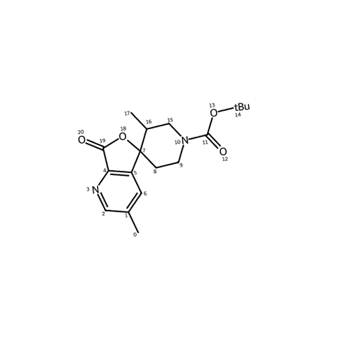 Cc1cnc2c(c1)C1(CCN(C(=O)OC(C)(C)C)CC1C)OC2=O